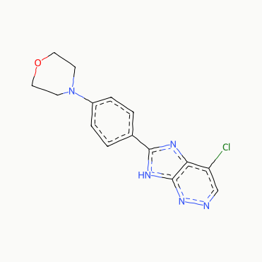 Clc1cnnc2[nH]c(-c3ccc(N4CCOCC4)cc3)nc12